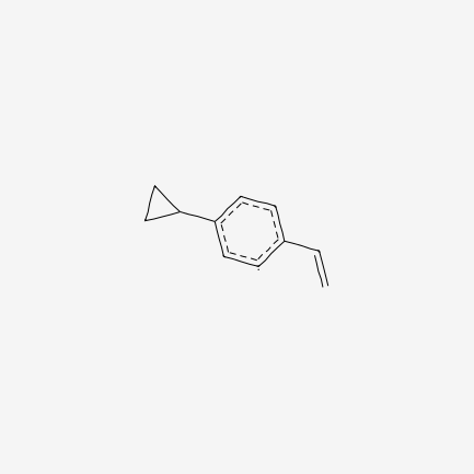 C=Cc1[c]cc(C2CC2)cc1